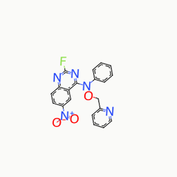 O=[N+]([O-])c1ccc2nc(F)nc(N(OCc3ccccn3)c3ccccc3)c2c1